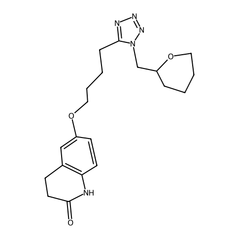 O=C1CCc2cc(OCCCCc3nnnn3CC3CCCCO3)ccc2N1